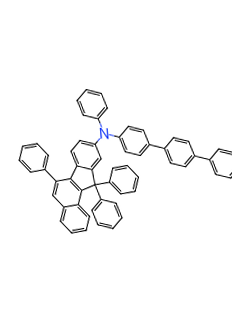 c1ccc(-c2ccc(-c3ccc(N(c4ccccc4)c4ccc5c(c4)C(c4ccccc4)(c4ccccc4)c4c-5c(-c5ccccc5)cc5ccccc45)cc3)cc2)cc1